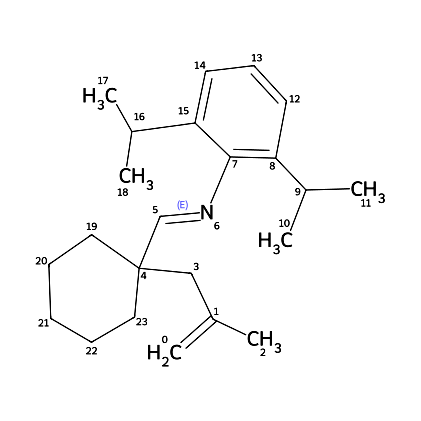 C=C(C)CC1(/C=N/c2c(C(C)C)cccc2C(C)C)CCCCC1